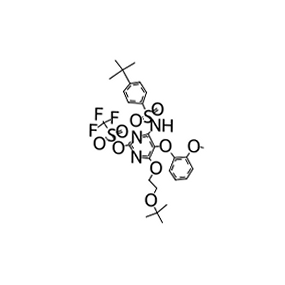 COc1ccccc1Oc1c(NS(=O)(=O)c2ccc(C(C)(C)C)cc2)nc(OS(=O)(=O)C(F)(F)F)nc1OCCOC(C)(C)C